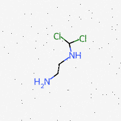 NCCNC(Cl)Cl